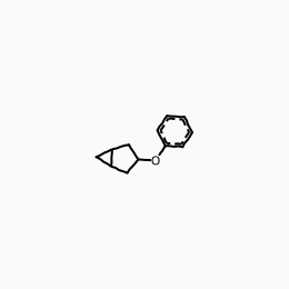 c1ccc(OC2CC3CC3C2)cc1